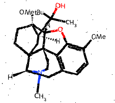 COc1ccc2c3c1O[C@H]1[C@]4(OC)CCC5(C[C@@H]4C(C)(O)C(C)(C)C)[C@@H](C2)N(C)CC[C@]315